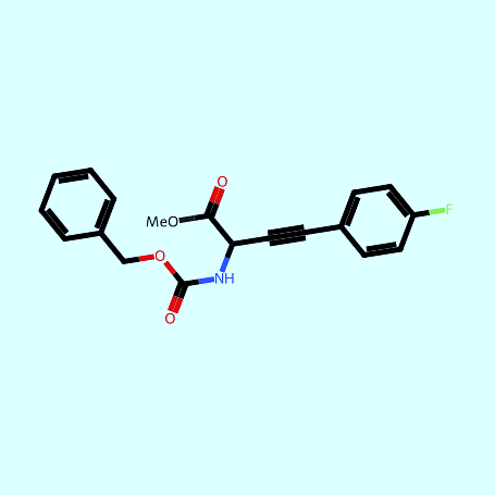 COC(=O)C(C#Cc1ccc(F)cc1)NC(=O)OCc1ccccc1